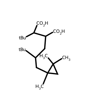 CC(C)(C)C(CC(C(=O)O)C(C(=O)O)C(C)(C)C)CC1(C)CC1(C)C